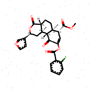 COC(=O)[C@@H]1C=C(OC(=O)c2ccccc2F)C(=O)[C@H]2[C@@]1(C)CC[C@H]1C(=O)O[C@H](c3ccoc3)C[C@]21C